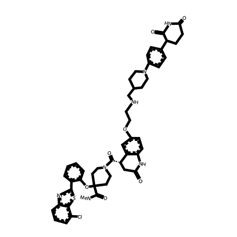 CNC(=O)C1(Oc2ccccc2-c2nc3cccc(Cl)c3s2)CCN(C(=O)[C@H]2CC(=O)Nc3ccc(OCCNCC4CCN(c5ccc(C6CCC(=O)NC6=O)cc5)CC4)cc32)CC1